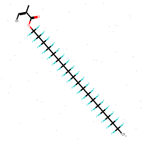 CCC=C(C)C(=O)OC(F)(F)C(F)(F)C(F)(F)C(F)(F)C(F)(F)C(F)(F)C(F)(F)C(F)(F)C(F)(F)C(F)(F)C(F)(F)C(F)(F)C(F)(F)C(F)(F)C(F)(F)C(F)(F)C(F)(F)C(F)(F)C(F)(F)F